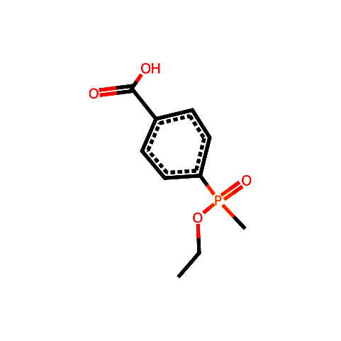 CCOP(C)(=O)c1ccc(C(=O)O)cc1